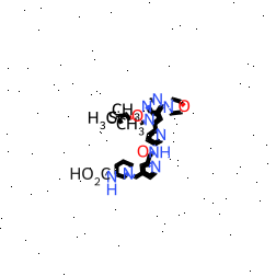 C[Si](C)(C)CCOCn1c(-c2ccc(NC(=O)c3cc(CN4CCCC(NC(=O)O)C4)ccn3)cn2)cc2c(N3CCOCC3)ncnc21